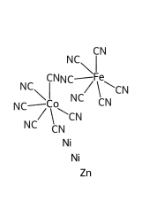 N#[C][Co]([C]#N)([C]#N)([C]#N)([C]#N)[C]#N.N#[C][Fe]([C]#N)([C]#N)([C]#N)([C]#N)[C]#N.[Ni].[Ni].[Zn]